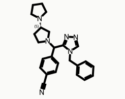 N#Cc1ccc(C(c2nncn2Cc2ccccc2)N2CC[C@H](N3CCCC3)C2)cc1